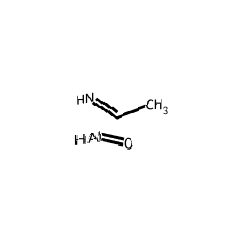 CC=N.[O]=[AlH]